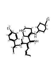 C\C=C/C=C(C(=N)C1=C(NC2CCC(CC)CC2)CCNC1)\C(C)=N\C(=C/C)c1ccc(CC)cc1